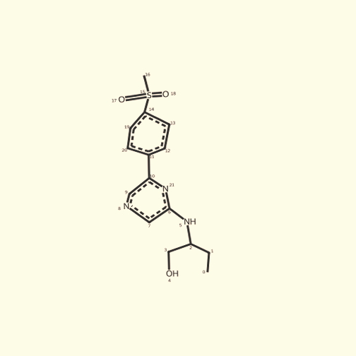 CCC(CO)Nc1cncc(-c2ccc(S(C)(=O)=O)cc2)n1